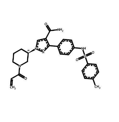 C=CC(=O)N1CCC[C@@H](n2cc(C(N)=O)c(-c3ccc(NS(=O)(=O)c4ccc(C)cc4)cc3)n2)C1